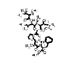 CCC(C)C([C@@H](CC(=O)N1CCC[C@H]1[C@H](OC)[C@@H](C)C(=O)N[C@@H](Cc1ccccc1)C(=O)OC)OC)N(C)C(=O)C(NC(=O)C(NC)C(C)C)C(C)C